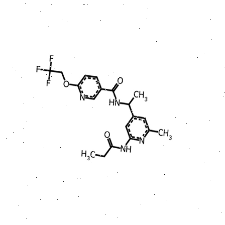 CCC(=O)Nc1cc(C(C)NC(=O)c2ccc(OCC(F)(F)F)nc2)cc(C)n1